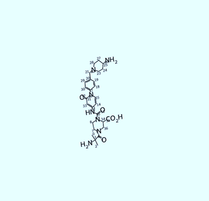 CC(C)(N)C(=O)N1CCN(C(=O)Nc2ccn(-c3ccc(CN4CCC(N)CC4)cc3)c(=O)c2)C(C(=O)O)C1